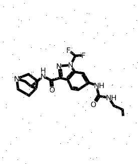 CCCNC(=O)Nc1ccc2c(C(=O)NC3CN4CCC3CC4)nn(C(F)F)c2c1